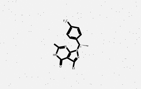 CCc1nn([C@@H](C)c2ccc(C(F)(F)F)cc2)c2nc(C)[nH]c(=O)c12